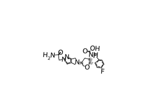 NC(=O)Cn1cc2c(n1)CN([C@H]1CO[C@@H](c3cc(F)ccc3F)[C@@H](NC(=O)O)C1)C2